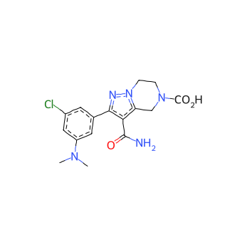 CN(C)c1cc(Cl)cc(-c2nn3c(c2C(N)=O)CN(C(=O)O)CC3)c1